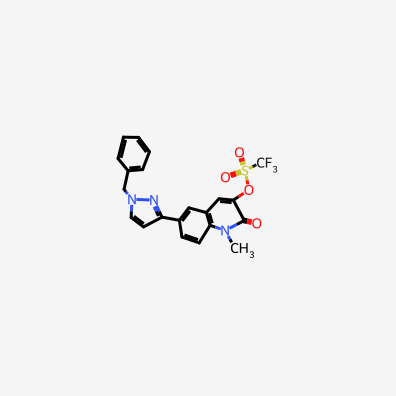 Cn1c(=O)c(OS(=O)(=O)C(F)(F)F)cc2cc(-c3ccn(Cc4ccccc4)n3)ccc21